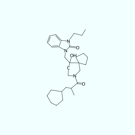 CCCn1c(=O)n(CC2(O)CCN(C(=O)C(C)CC3CCCCC3)CC23CCCC3)c2ccccc21